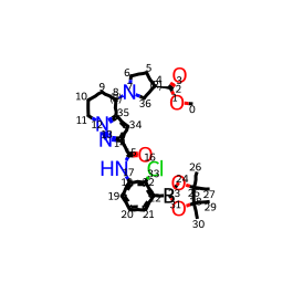 COC(=O)[C@@H]1CCN([C@@H]2CCCn3nc(C(=O)Nc4cccc(B5OC(C)(C)C(C)(C)O5)c4Cl)cc32)C1